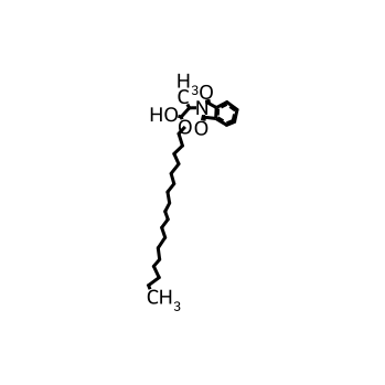 CCCCCCCCCCCCCCCCCCOC(O)C(C)N1C(=O)c2ccccc2C1=O